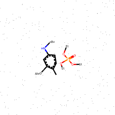 CCCCNc1ccc(C)c(OC)c1.CCOP(=O)(OCC)OCC